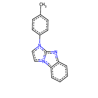 Cc1ccc(-n2ccn3c4ccccc4nc23)cc1